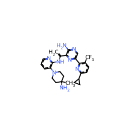 C=C(Nc1ncccc1N1CCC(C)(N)CC1)c1nc(-c2nc(C3CC3)ccc2C(F)(F)F)cnc1N